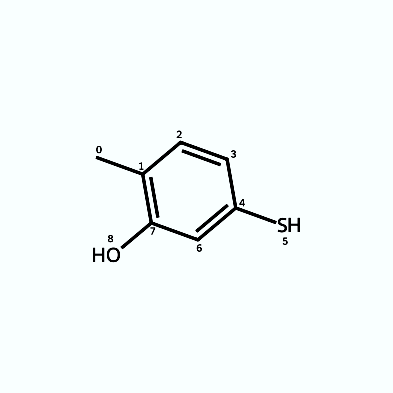 Cc1ccc(S)cc1O